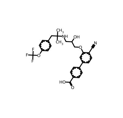 CC(C)(Cc1ccc(OC(F)(F)F)cc1)NCC(O)COc1cc(-c2ccc(C(=O)O)cc2)ccc1C#N